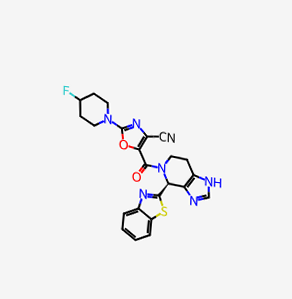 N#Cc1nc(N2CCC(F)CC2)oc1C(=O)N1CCc2[nH]cnc2[C@H]1c1nc2ccccc2s1